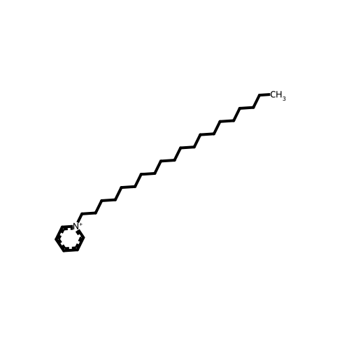 CCCCCCCCCCCCCCCCCCCC[n+]1ccccc1